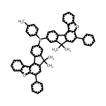 Cc1ccc(N(c2ccc3c(c2)C(C)(C)c2cc(-c4ccccc4)c4oc5ccccc5c4c2-3)c2ccc3c(c2)C(C)(C)c2cc(-c4ccccc4)c4oc5ccccc5c4c2-3)cc1